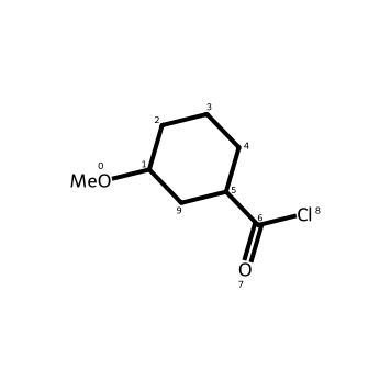 COC1CCCC(C(=O)Cl)C1